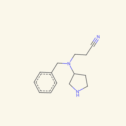 N#CCCN(Cc1ccccc1)C1CCNC1